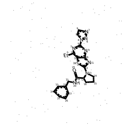 CCc1nc(-n2ccnn2)nc2nc(N3CCCC3C(=O)NCc3ccccc3)sc12